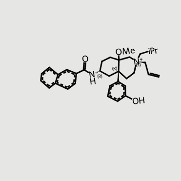 C=CC[N@@+]1(CC(C)C)CC[C@]2(c3cccc(O)c3)C[C@H](NC(=O)c3ccc4ccccc4c3)CCC2(OC)C1